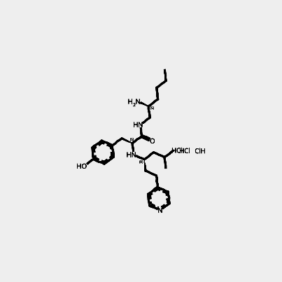 CCCC[C@H](N)CNC(=O)[C@H](Cc1ccc(O)cc1)N[C@H](CCc1ccncc1)CC(C)C.Cl.Cl.Cl